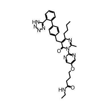 CCCCc1nc(C)n(-c2ncc(OCCCC(=O)NCC)cn2)c(=O)c1Cc1ccc(-c2ccccc2-c2nnn[nH]2)cc1